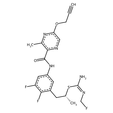 C#CCOc1cnc(C(=O)Nc2cc(F)c(F)c(C[C@@H](C)S/C(N)=N\CF)c2)c(C)n1